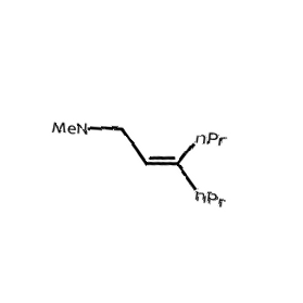 CCCC(=CCNC)CCC